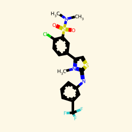 CN(C)S(=O)(=O)c1cc(-c2csc(=Nc3cccc(C(F)(F)F)c3)n2C)ccc1Cl